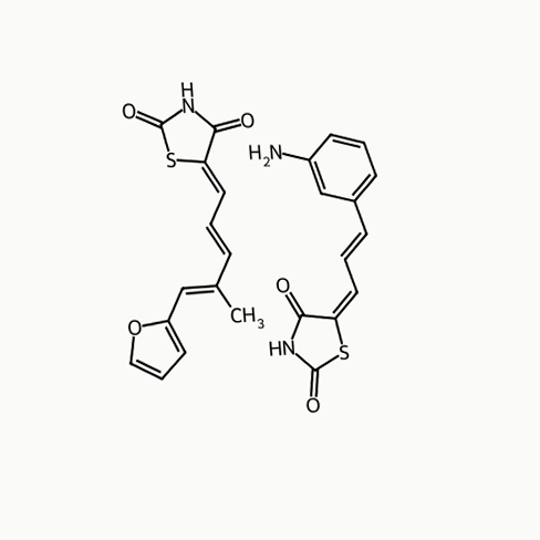 CC(C=CC=C1SC(=O)NC1=O)=Cc1ccco1.Nc1cccc(C=CC=C2SC(=O)NC2=O)c1